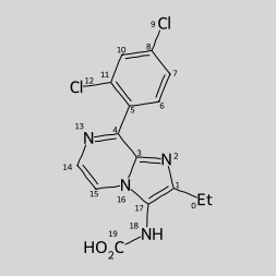 CCc1nc2c(-c3ccc(Cl)cc3Cl)nccn2c1NC(=O)O